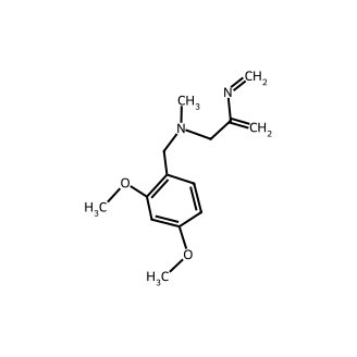 C=NC(=C)CN(C)Cc1ccc(OC)cc1OC